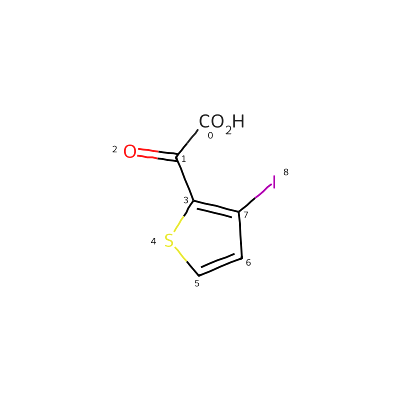 O=C(O)C(=O)c1sccc1I